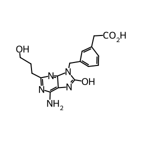 Nc1nc(CCCO)nc2c1nc(O)n2Cc1cccc(CC(=O)O)c1